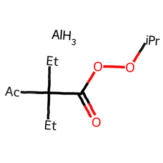 CCC(CC)(C(C)=O)C(=O)OOC(C)C.[AlH3]